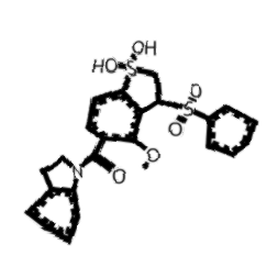 COc1c(C(=O)N2CCc3ccccc32)ccc2c1C(S(=O)(=O)c1ccccc1)CS2(O)O